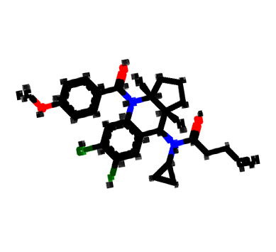 O=C(O)CCC(=O)N(C1CC1)[C@H]1c2cc(F)c(Cl)cc2N(C(=O)c2ccc(OC(F)(F)F)cc2)[C@@H]2CCC[C@@H]21